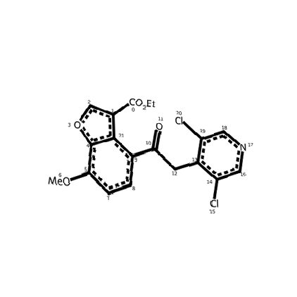 CCOC(=O)c1coc2c(OC)ccc(C(=O)Cc3c(Cl)cncc3Cl)c12